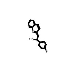 OC(Cc1ccc2ccccc2n1)c1ccc(F)cc1